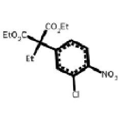 CCOC(=O)C(CC)(C(=O)OCC)c1ccc([N+](=O)[O-])c(Cl)c1